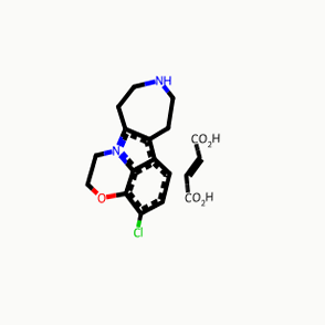 Clc1ccc2c3c(n4c2c1OCC4)CCNCC3.O=C(O)C=CC(=O)O